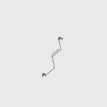 CC(C)C=[C]CC(C)C